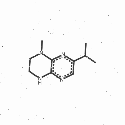 CC(C)c1cnc2c(n1)N(C)CCN2